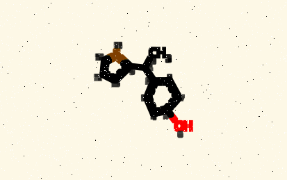 CC(c1ccc(O)cc1)c1cccs1